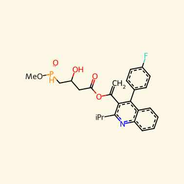 C=C(OC(=O)CC(O)C[PH](=O)OC)c1c(C(C)C)nc2ccccc2c1-c1ccc(F)cc1